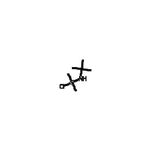 CC(C)(C)N[Si](C)(C)Cl